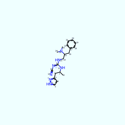 CC(Cc1cc[nH]n1)N/C(=N\C#N)NCC(Cc1ccccc1)N(C)C